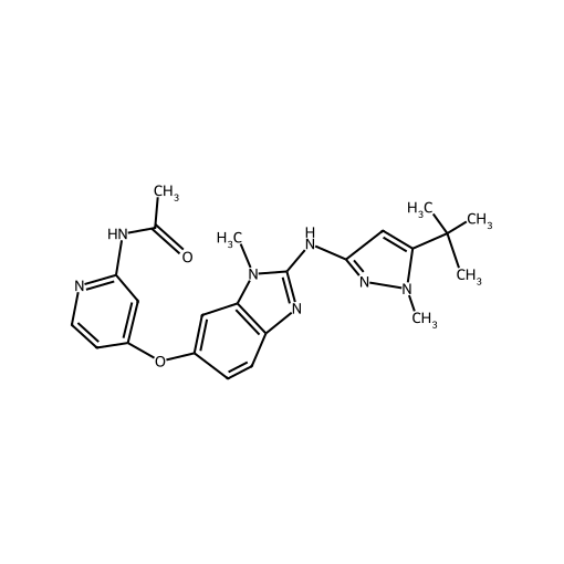 CC(=O)Nc1cc(Oc2ccc3nc(Nc4cc(C(C)(C)C)n(C)n4)n(C)c3c2)ccn1